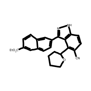 CCOC(=O)c1ccc2cc(-c3n[nH]c4ccc(C#N)c(C5CCCCO5)c34)ccc2c1